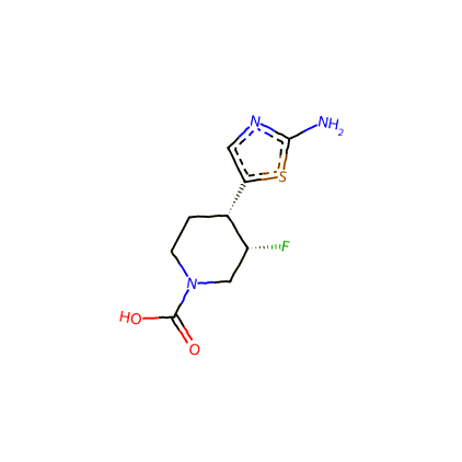 Nc1ncc([C@H]2CCN(C(=O)O)C[C@H]2F)s1